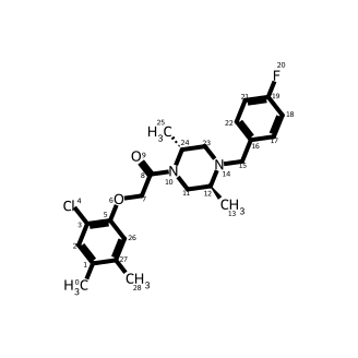 Cc1cc(Cl)c(OCC(=O)N2C[C@H](C)N(Cc3ccc(F)cc3)C[C@H]2C)cc1C